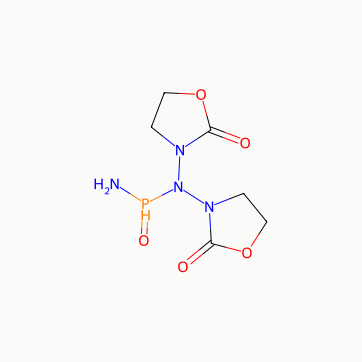 N[PH](=O)N(N1CCOC1=O)N1CCOC1=O